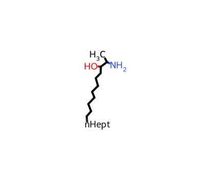 CCCCCCCCCCCCCCCC(O)C(C)N